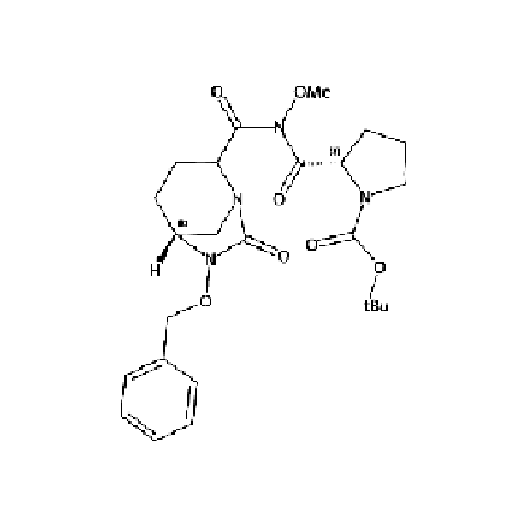 CON(C(=O)C1CC[C@@H]2CN1C(=O)N2OCc1ccccc1)C(=O)[C@@H]1CCCN1C(=O)OC(C)(C)C